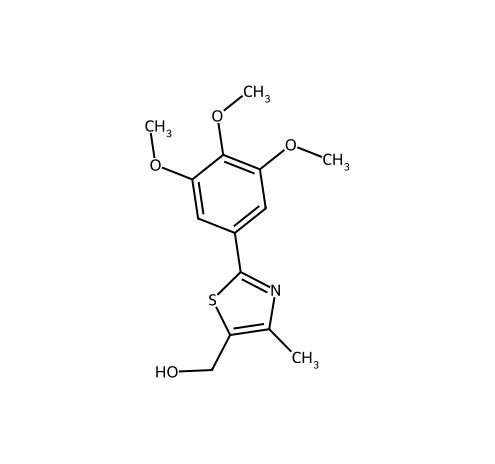 COc1cc(-c2nc(C)c(CO)s2)cc(OC)c1OC